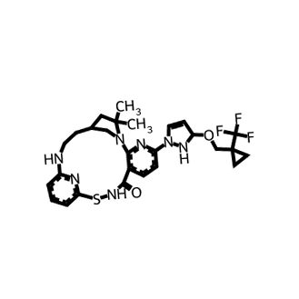 CC1(C)CC2CCNc3cccc(n3)SNC(=O)c3ccc(N4C=CC(OCC5(C(F)(F)F)CC5)N4)nc3N1C2